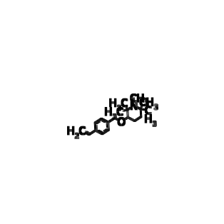 C=Cc1ccc(COC2CCC(C)(C)N(C)C2(C)C)cc1